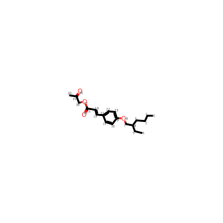 CCCCC(CC)COc1ccc(/C=C/C(=O)OCC(C)=O)cc1